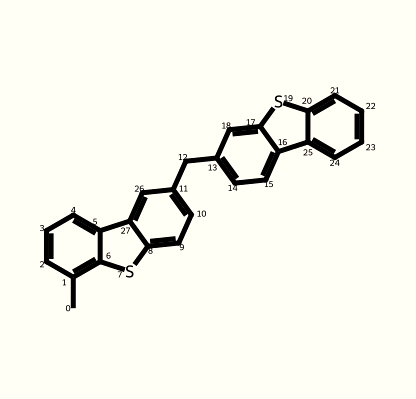 Cc1cccc2c1sc1ccc(Cc3ccc4c(c3)sc3ccccc34)cc12